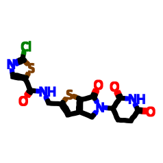 O=C1CCC(N2Cc3cc(CNC(=O)c4cnc(Cl)s4)sc3C2=O)C(=O)N1